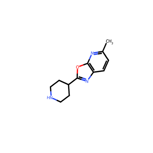 Cc1ccc2nc(C3CCNCC3)oc2n1